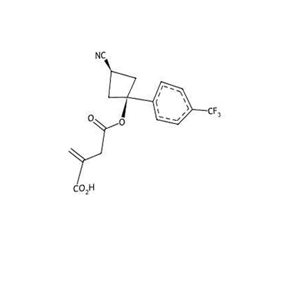 C=C(CC(=O)O[C@]1(c2ccc(C(F)(F)F)cc2)C[C@H](C#N)C1)C(=O)O